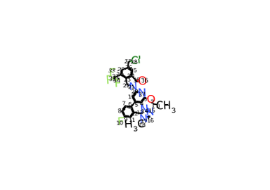 CCOc1cc(-c2ccc(F)cc2-c2nncn2C)cc(N2Cc3c(cc(CCl)cc3C(F)(F)F)C2=O)n1